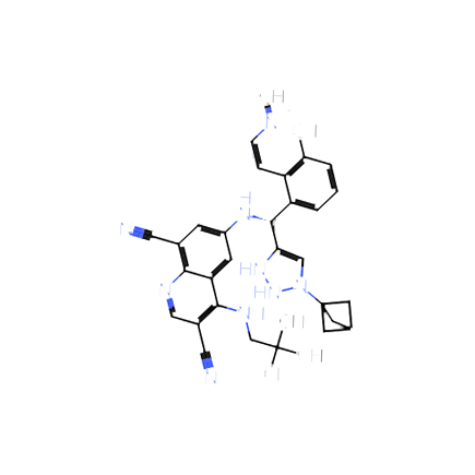 C=N/C=C\c1c(C)cccc1[C@H](Nc1cc(C#N)c2ncc(C#N)c(NCC(C)(C)C)c2c1)C1=CN(C23CC(C2)C3)NN1